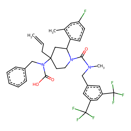 C=CCC1(N(Cc2ccccc2)C(=O)O)CCN(C(=O)N(C)Cc2cc(C(F)(F)F)cc(C(F)(F)F)c2)C(c2ccc(F)cc2C)C1